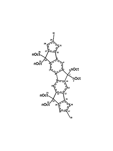 CCCCCCCCC1(CCCCCCCC)c2cc3c(cc2-c2cc4c(cc21)-c1sc(C)cc1C4(CCCCCCCC)CCCCCCCC)C(CCCCCCCC)(CCCCCCCC)c1cc(C)sc1-3